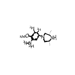 [2H]c1c(N2C[C@@H](C)N[C@@H](C)C2)cc(N([2H])[2H])c(OC)c1[2H]